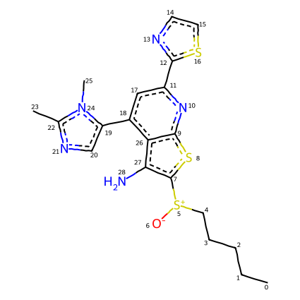 CCCCC[S+]([O-])c1sc2nc(-c3nccs3)cc(-c3cnc(C)n3C)c2c1N